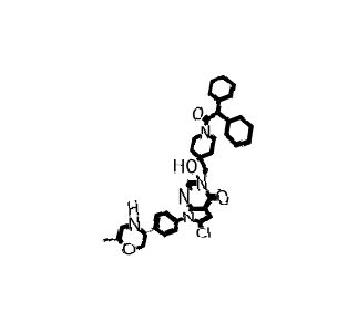 C[C@H]1CN[C@H](c2ccc(-n3c(Cl)cc4c(=O)n(CC5(O)CCN(C(=O)C(C6CCCCC6)C6CCCCC6)CC5)cnc43)cc2)CO1